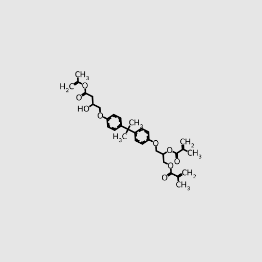 C=C(C)OC(=O)CC(O)COc1ccc(C(C)(C)c2ccc(OCC(COC(=O)C(=C)C)OC(=O)C(=C)C)cc2)cc1